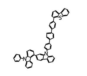 c1ccc(-n2c3ccccc3c3c(-c4ccc5c6ccccc6n(-c6ccc(-c7ccc(-c8ccc(-c9cccc%10c9sc9ccccc9%10)cc8)cc7)cc6)c5c4)cccc32)cc1